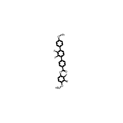 CCCCOc1ccc(OC(=O)c2ccc(-c3ccc(-c4ccc(OCCC)cc4)c(F)c3F)cc2)c(F)c1F